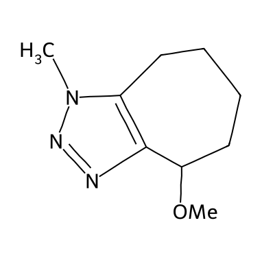 COC1CCCCc2c1nnn2C